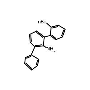 CCCCc1ccccc1-c1cccc(-c2ccccc2)c1N